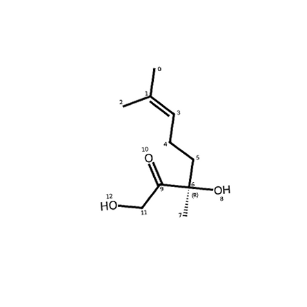 CC(C)=CCC[C@@](C)(O)C(=O)CO